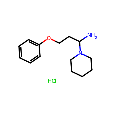 Cl.NC(CCOc1ccccc1)N1CCCCC1